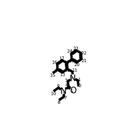 CCN(CC(=O)N(CC)CC)Cc1cc(C)ccc1-c1ccccc1